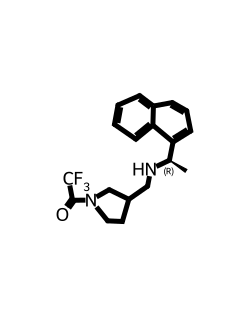 C[C@@H](NCC1CCN(C(=O)C(F)(F)F)C1)c1cccc2ccccc12